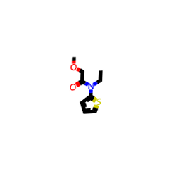 CCN(C(=O)COC)c1cccs1